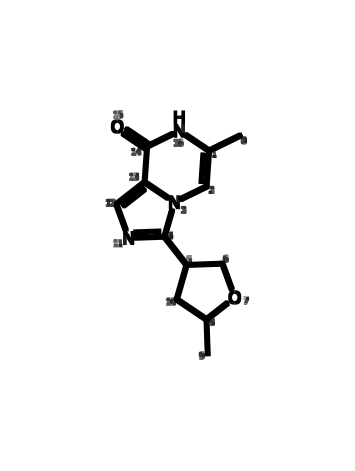 Cc1cn2c(C3COC(C)C3)ncc2c(=O)[nH]1